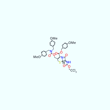 COc1ccc(COC(=O)C2=C(COC(=O)N(Cc3ccc(OC)cc3)Cc3ccc(OC)cc3)CS[C@H]3[C@H](NC(=O)OCC(Cl)(Cl)Cl)C(=O)N23)cc1